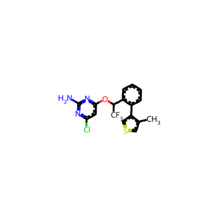 Cc1cscc1-c1ccccc1C(Oc1cc(Cl)nc(N)n1)C(F)(F)F